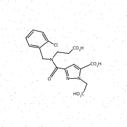 O=C(O)CCN(Cc1ccccc1Cl)C(=O)c1cc(C(=O)O)n(CC(=O)O)n1